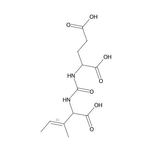 C/C=C(\C)C(NC(=O)NC(CCC(=O)O)C(=O)O)C(=O)O